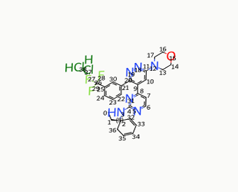 CC[C@@]1(Nc2nccc(-c3cc(N4CCOCC4)nnc3-c3cccc(C(F)(F)F)c3)n2)C=CC=CC1.Cl.Cl